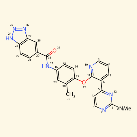 CNc1nccc(-c2cccnc2Oc2ccc(NC(=O)c3ccc4[nH]nnc4c3)cc2C)n1